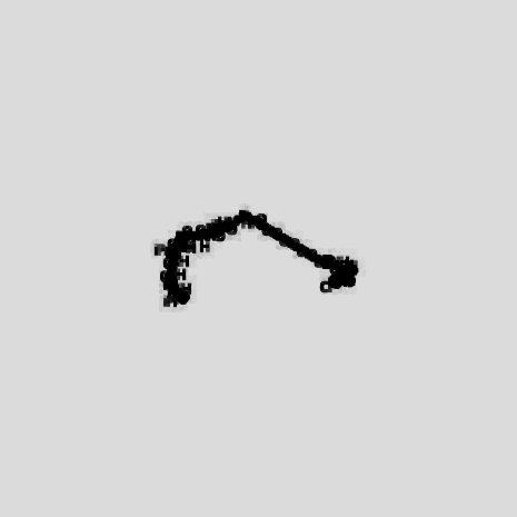 Cc1sc2c(c1C)C(c1ccc(Cl)cc1)=N[C@@H](CC(=O)Nc1ccc(OCCOCCOCCOCCOCCOCCOCCC(=O)NCCCN(C)CCCNC(=O)CCNC(=O)c3nc(NC(=O)CCNC(=O)c4cc(NC(=O)c5nc(NC(=O)CCNC(=O)c6cc(NC(=O)c7nccn7C(C)C)cn6C)cn5C(C)C)cn4C)cn3C(C)C)cc1)c1nnc(C)n1-2